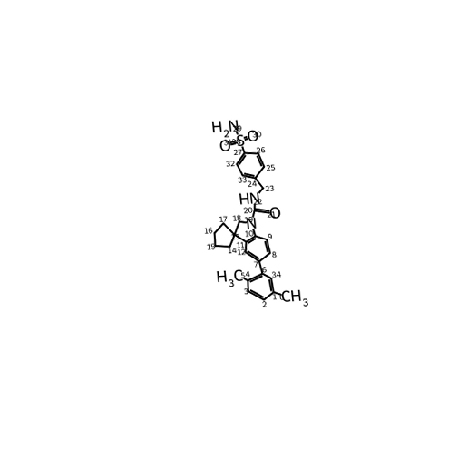 Cc1ccc(C)c(-c2ccc3c(c2)C2(CCCC2)CN3C(=O)NCc2ccc(S(N)(=O)=O)cc2)c1